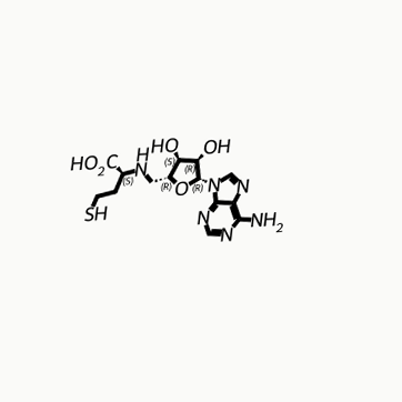 Nc1ncnc2c1ncn2[C@@H]1O[C@H](CN[C@@H](CCS)C(=O)O)[C@@H](O)[C@H]1O